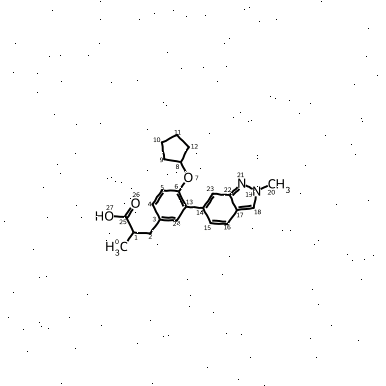 CC(Cc1ccc(OC2CCCC2)c(-c2ccc3cn(C)nc3c2)c1)C(=O)O